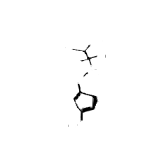 CC1=CCC(O[SiH2]C(C)(C)C(C)C)=C1